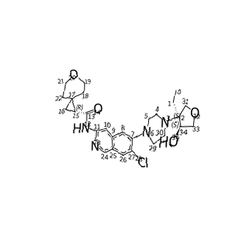 CC[C@]1(N2CCN(c3cc4cc(NC(=O)[C@@H]5CC56CCOCC6)ncc4cc3Cl)CC2)COC[C@H]1O